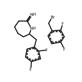 Fc1ccc(CBr)c(F)c1.N=C1CCCCC(Cc2ccc(F)cc2F)N1